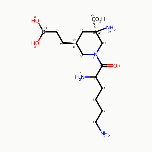 NCCCCC(N)C(=O)N1C[C@@H](CCB(O)O)C[C@](N)(C(=O)O)C1